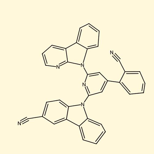 N#Cc1ccc2c(c1)c1ccccc1n2-c1cc(-c2ccccc2C#N)cc(-n2c3ccccc3c3cccnc32)n1